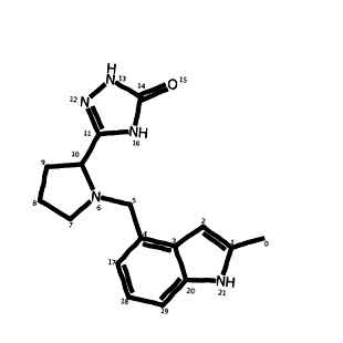 Cc1cc2c(CN3CCCC3c3n[nH]c(=O)[nH]3)cccc2[nH]1